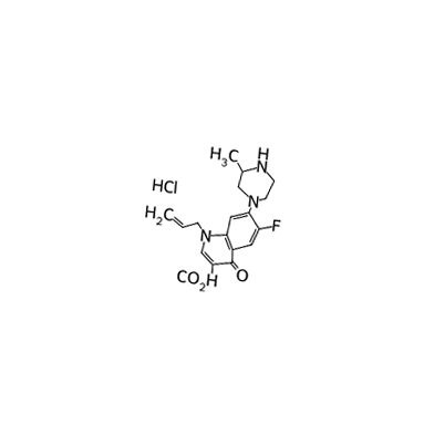 C=CCn1cc(C(=O)O)c(=O)c2cc(F)c(N3CCNC(C)C3)cc21.Cl